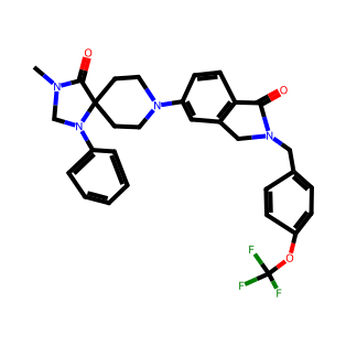 CN1CN(c2ccccc2)C2(CCN(c3ccc4c(c3)CN(Cc3ccc(OC(F)(F)F)cc3)C4=O)CC2)C1=O